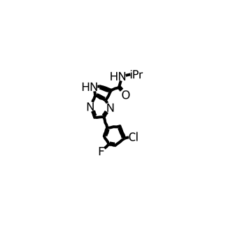 CC(C)NC(=O)c1c[nH]c2ncc(-c3cc(F)cc(Cl)c3)nc12